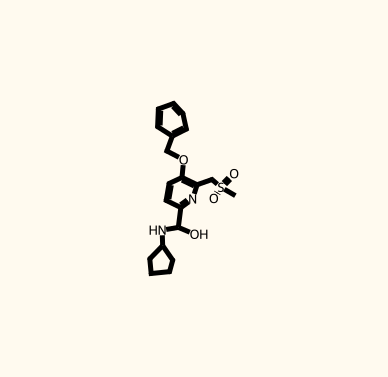 CS(=O)(=O)Cc1nc(C(O)NC2CCCC2)ccc1OCc1ccccc1